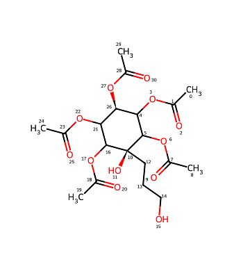 CC(=O)OC1C(OC(C)=O)[C@](O)(CCCO)C(OC(C)=O)C(OC(C)=O)[C@H]1OC(C)=O